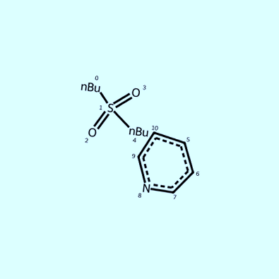 CCCCS(=O)(=O)CCCC.c1ccncc1